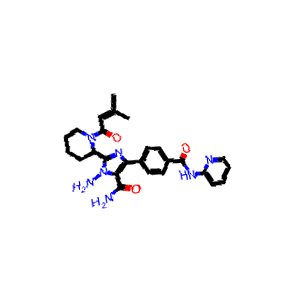 CC(C)=CC(=O)N1CCCCC1c1nc(-c2ccc(C(=O)Nc3ccccn3)cc2)c(C(N)=O)n1N